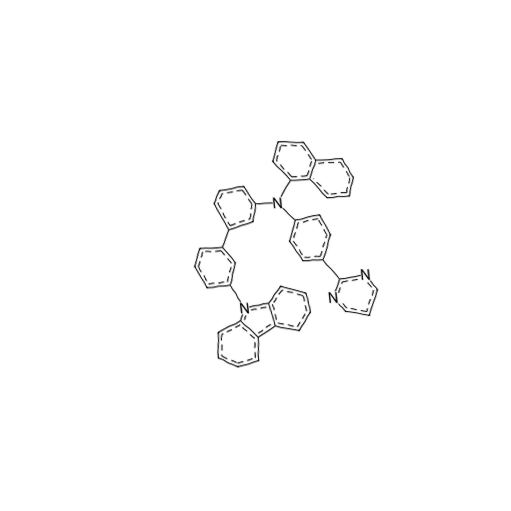 c1cnc(-c2ccc(N(c3cccc(-c4cccc(-n5c6ccccc6c6ccccc65)c4)c3)c3cccc4ccccc34)cc2)nc1